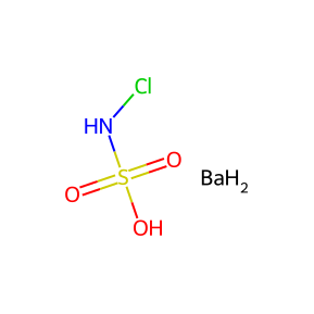 O=S(=O)(O)NCl.[BaH2]